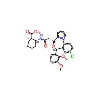 COc1cccc([C@H]2O[C@H](CC(=O)N[C@@H]3CCCC[C@@H]3C(=O)O)c3cccn3-c3ccc(Cl)cc32)c1OC